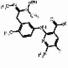 CCCCN(C)/C(Cc1cc(Nc2nc(N)c(F)cc2C(N)=O)ccc1C)=N/C